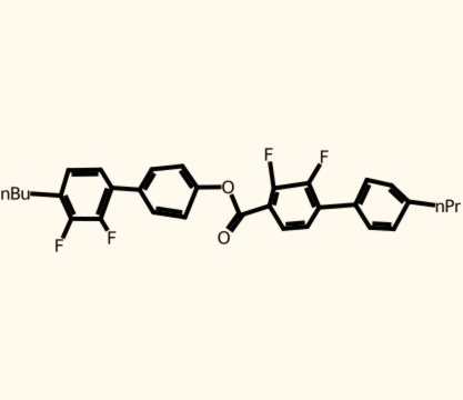 CCCCc1ccc(-c2ccc(OC(=O)c3ccc(-c4ccc(CCC)cc4)c(F)c3F)cc2)c(F)c1F